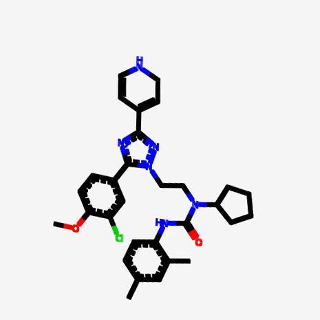 COc1ccc(-c2nc(C3=CCNC=C3)nn2CCN(C(=O)Nc2ccc(C)cc2C)C2CCCC2)cc1Cl